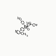 Cc1ccncc1-c1ccc(N2C(=O)[C@H](SC[C@H](O)c3ccc(F)cc3)[C@H]2c2ccc(O)cc2)cc1